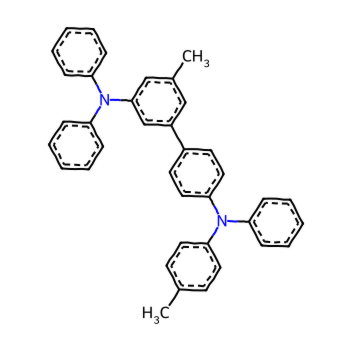 Cc1ccc(N(c2ccccc2)c2ccc(-c3cc(C)cc(N(c4ccccc4)c4ccccc4)c3)cc2)cc1